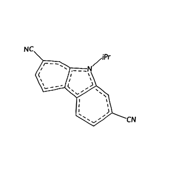 CC(C)n1c2cc(C#N)ccc2c2ccc(C#N)cc21